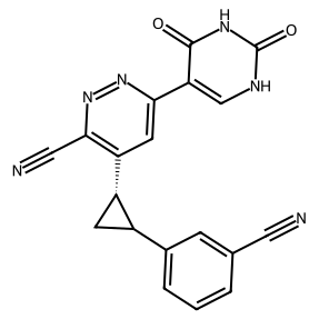 N#Cc1cccc(C2C[C@@H]2c2cc(-c3c[nH]c(=O)[nH]c3=O)nnc2C#N)c1